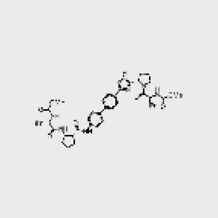 COC(=O)N[C@H](C(=O)N[C@@H]1CCC[C@H]1C(=O)Nc1ccc(-c2ccc(-c3c[nH]c([C@@H]4CCCN4C(=O)[C@@H](NC(=O)OC)C(C)C)n3)cc2)cc1)C(C)C